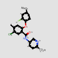 COc1ccc(Oc2cc(C)c(Cl)cc2C(=O)Nc2ccc(C(=O)O)nc2)c(F)c1